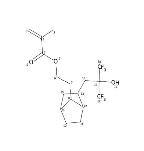 C=C(C)C(=O)OCCC1C2CCC1C(CC(O)(C(F)(F)F)C(F)(F)F)C2